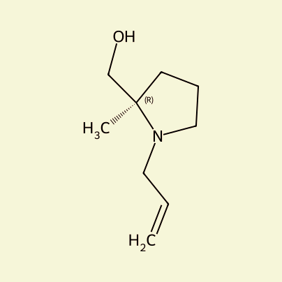 C=CCN1CCC[C@]1(C)CO